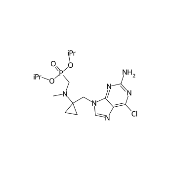 CC(C)OP(=O)(CN(C)C1(Cn2cnc3c(Cl)nc(N)nc32)CC1)OC(C)C